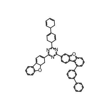 C1=CCC(C2=CCC(c3nc(C4=CC=C5c6ccccc6OC5C4)nc(-c4ccc5c(c4)oc4cccc(-c6cccc(-c7ccccc7)c6)c45)n3)C=C2)C=C1